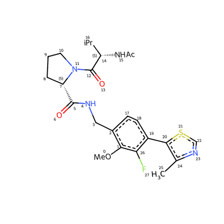 COc1c(CNC(=O)[C@@H]2CCCN2C(=O)[C@@H](NC(C)=O)C(C)C)ccc(-c2scnc2C)c1F